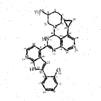 NC1CCCN(C2NC(c3ccnc4[nH]c(-c5ccccc5Cl)cc34)=Nc3cncc(C4CC4)c32)C1